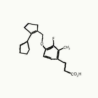 Cc1c(CCC(=O)O)ccc(OCC2=C(C3CCCC3)CCC2)c1F